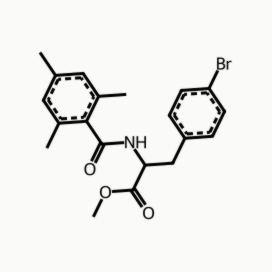 COC(=O)C(Cc1ccc(Br)cc1)NC(=O)c1c(C)cc(C)cc1C